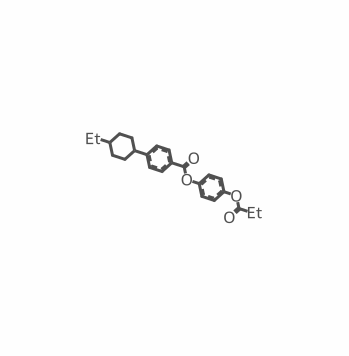 CCC(=O)Oc1ccc(OC(=O)c2ccc(C3CCC(CC)CC3)cc2)cc1